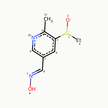 CC[S+]([O-])c1cc(/C=N/O)cnc1C